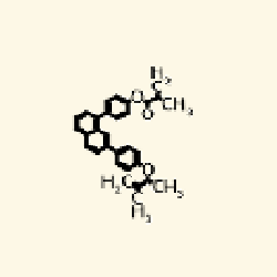 C=C(C)C(=O)Oc1ccc(-c2cccc3ccc(-c4ccc(OC(C)C(=C)C)cc4)cc23)cc1